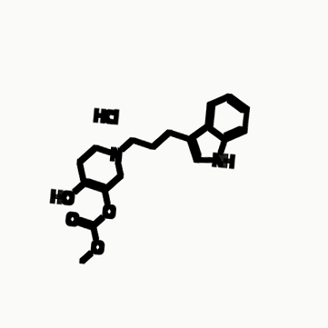 COC(=O)OC1=C(O)CCN(CCCc2c[nH]c3ccccc23)C1.Cl